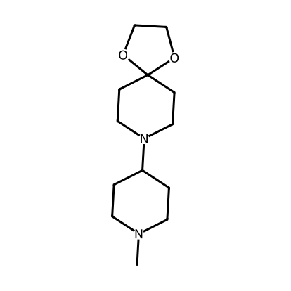 CN1CCC(N2CCC3(CC2)OCCO3)CC1